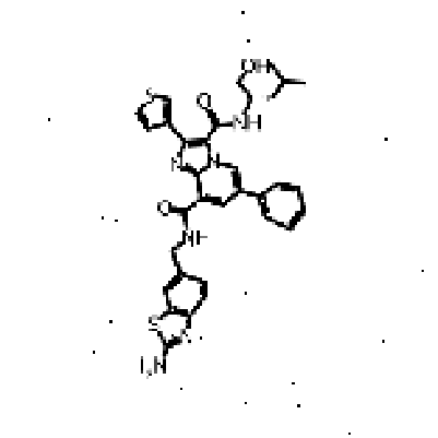 CC(C)C[C@@H](CO)NC(=O)c1c(-c2ccsc2)nc2c(C(=O)NCc3ccc4nc(N)sc4c3)cc(-c3ccccc3)cn12